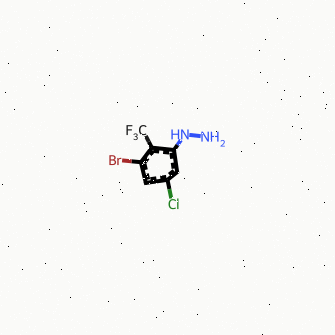 NNc1cc(Cl)cc(Br)c1C(F)(F)F